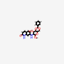 COC1OC2COC(c3ccccc3)OC2C(O)C1Nc1ccc2ccc(=O)[nH]c2c1